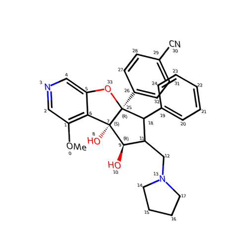 COc1cncc2c1[C@]1(O)[C@H](O)C(CN3CCCC3)C(c3ccccc3)[C@]1(c1ccc(C#N)cc1)O2